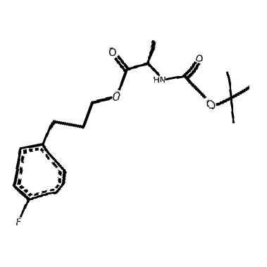 CC(NC(=O)OC(C)(C)C)C(=O)OCCCc1ccc(F)cc1